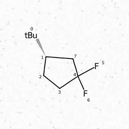 CC(C)(C)[C@H]1CCC(F)(F)C1